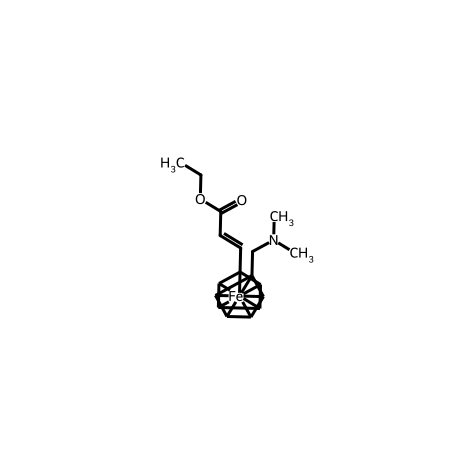 CCOC(=O)C=C[C]12[CH]3[CH]4[CH]5[CH]1[Fe]45321678[CH]2[CH]1[CH]6[C]7(CN(C)C)[CH]28